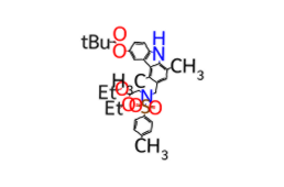 CCOC(CN(Cc1cc(C)c2[nH]c3ccc(OC(=O)C(C)(C)C)cc3c2c1C)S(=O)(=O)c1ccc(C)cc1)OCC